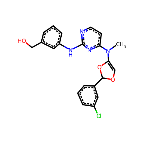 CN(C1=COC(c2cccc(Cl)c2)O1)c1ccnc(Nc2cccc(CO)c2)n1